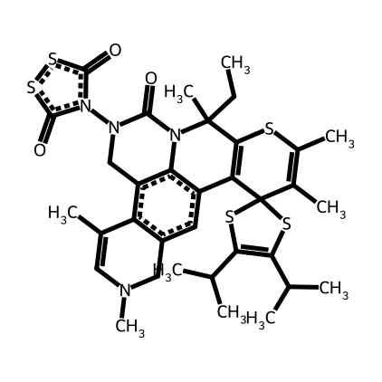 CCC1(C)C2=C(c3cc4c(c5c3N1C(=O)N(n1c(=O)ssc1=O)C5)C(C)=CN(C)C4)C1(SC(C(C)C)=C(C(C)C)S1)C(C)=C(C)S2